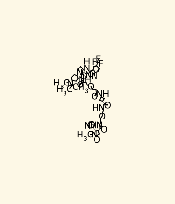 CC(C)N(C)[C@@H]1CC[C@H](N2CC[C@H](Nc3ncnc4ccc(C(F)(F)F)cc34)C2=O)[C@H](NC(=O)CCOCCC(=O)N[C@H]2C[C@@H](C(=O)NCCOCCNC(=O)[C@H]3CC(=O)N(C)[C@@H]3c3cccnc3)C2)C1